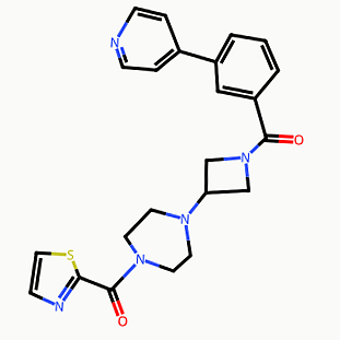 O=C(c1cccc(-c2ccncc2)c1)N1CC(N2CCN(C(=O)c3nccs3)CC2)C1